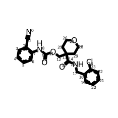 N#Cc1ccccc1NC(=O)OCC1(C(=O)NCc2ccccc2Cl)CCOCC1